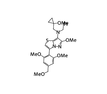 COCc1cc(OC)c(-c2csc3c(N(CC(C)C)CC4(OC)CC4)c(OC)nn23)c(OC)c1